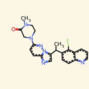 CC(c1ccc2ncccc2c1F)c1cnc2ccc(N3CCN(C)C(=O)C3)nn12